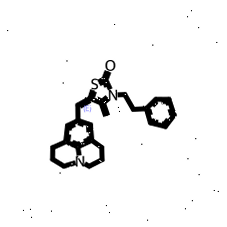 C=c1/c(=C\c2cc3c4c(c2)CCCN4CCC3)sc(=O)n1CCc1ccccc1